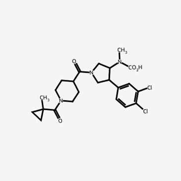 CN(C(=O)O)C1CN(C(=O)C2CCN(C(=O)C3(C)CC3)CC2)CC1c1ccc(Cl)c(Cl)c1